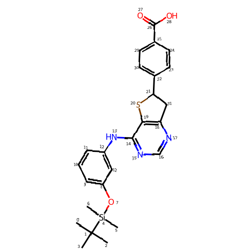 CC(C)(C)[Si](C)(C)Oc1cccc(Nc2ncnc3c2SC(c2ccc(C(=O)O)cc2)C3)c1